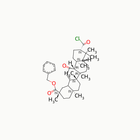 CC1(C)[C@@H](C(=O)Cl)CC[C@]2(C)[C@H]3C(=O)C=C4C5C[C@@](C)(C(=O)OCc6ccccc6)CC[C@]5(C)CC[C@@]4(C)[C@]3(C)CC[C@@H]12